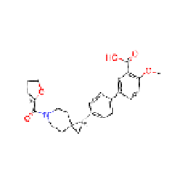 COc1ccc(-c2ccc([C@@H]3CC34CCN(C(=O)[C@H]3CCCO3)CC4)cc2)cc1C(=O)O